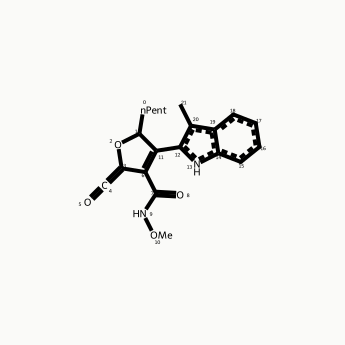 CCCCCC1OC(=C=O)C(C(=O)NOC)=C1c1[nH]c2ccccc2c1C